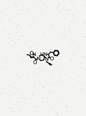 C#CCN1C(=O)C(Cc2ccccc2)NC12CCN(C(=O)c1cc(C)on1)CC2